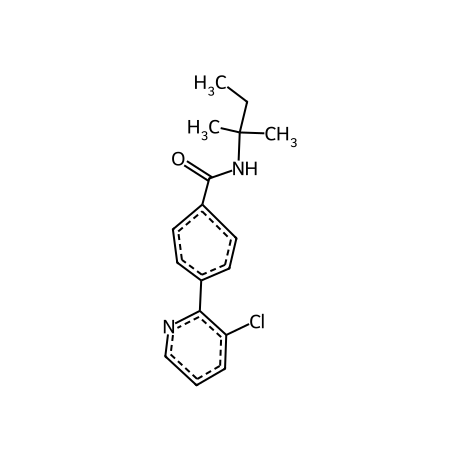 CCC(C)(C)NC(=O)c1ccc(-c2ncccc2Cl)cc1